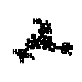 C#Cc1cccc(NC(=O)c2cc(N3C(=O)c4ccc(C#CC(C)(C)O)cc4C3=O)cc(N3C(=O)c4ccc(C#CC(C)(C)O)cc4C3=O)c2)c1